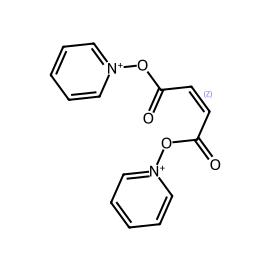 O=C(/C=C\C(=O)O[n+]1ccccc1)O[n+]1ccccc1